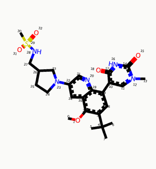 COc1c(C(C)(C)C)cc(-c2cn(C)c(=O)[nH]c2=O)c2ncc(N3CCC(CNS(C)(=O)=O)C3)cc12